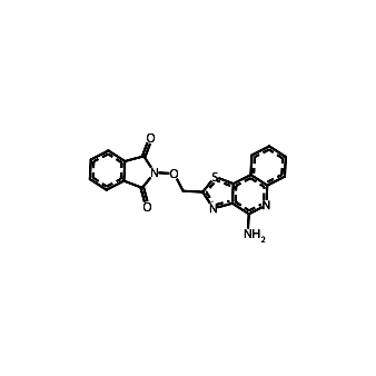 Nc1nc2ccccc2c2sc(CON3C(=O)c4ccccc4C3=O)nc12